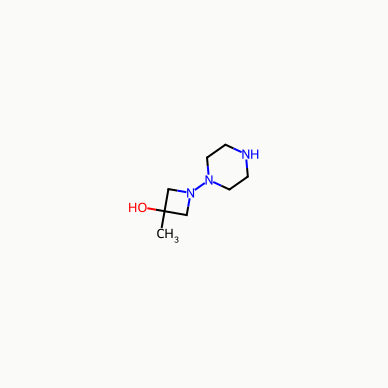 CC1(O)CN(N2CCNCC2)C1